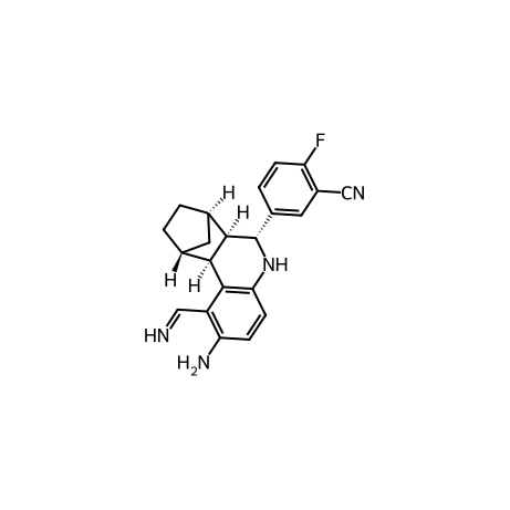 N#Cc1cc([C@@H]2Nc3ccc(N)c(C=N)c3[C@H]3[C@@H]4CC[C@H](C4)[C@H]32)ccc1F